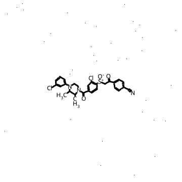 CC1C(C)N(c2cccc(Cl)c2)CCN1C(=O)c1ccc([S+]([O-])CC(=O)c2ccc(C#N)cc2)c(Cl)c1